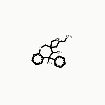 CCCCC1(CC)CSc2ccccc2C(O)(c2ccccc2)C1O